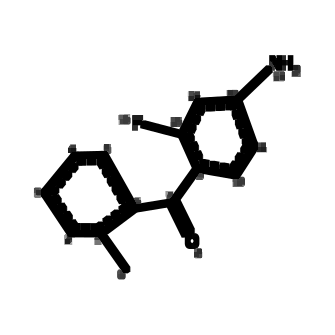 Cc1ccccc1C(=O)c1ccc(N)cc1F